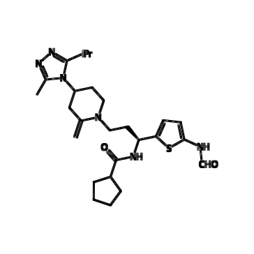 C=C1CC(n2c(C)nnc2C(C)C)CCN1CC[C@H](NC(=O)C1CCCC1)c1ccc(NC=O)s1